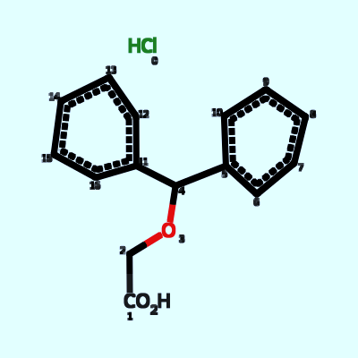 Cl.O=C(O)COC(c1ccccc1)c1ccccc1